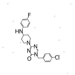 O=c1nc(N2CCC(Nc3ccc(F)cc3)CC2)ncn1Cc1ccc(Cl)cc1